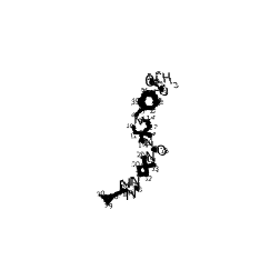 CS(=O)(=O)c1ccc(CN2CCC3(CC2)CN(C(=O)N2CC4(CC(n5cnc(C6CC6)n5)C4)C2)C3)cc1